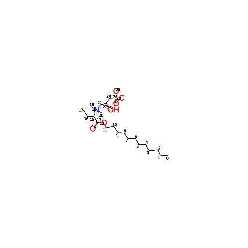 CCCCCCCCCCCCOC(=O)C(CC)[N+](C)(C)CC(O)CS(=O)(=O)[O-]